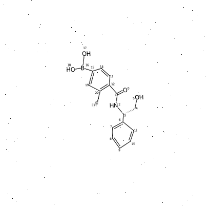 O=C(N[C@H](CO)c1ccccc1)c1ccc(B(O)O)cc1F